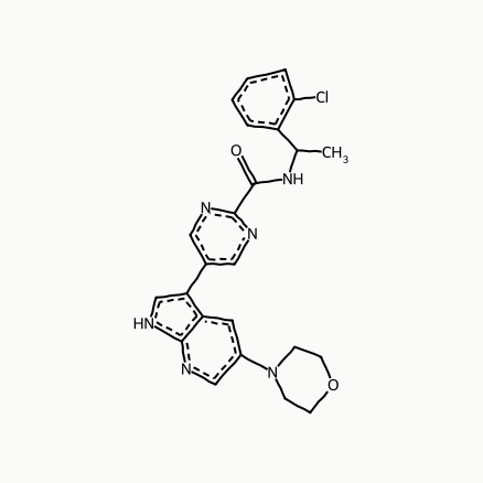 CC(NC(=O)c1ncc(-c2c[nH]c3ncc(N4CCOCC4)cc23)cn1)c1ccccc1Cl